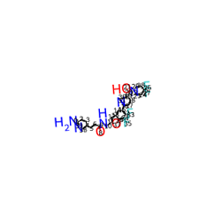 Nc1ccc(/C=C/C(=O)NCc2cc3cc(-c4ccc(C(O)N5CCC(F)(F)CC5)cn4)c(F)c(F)c3o2)cn1